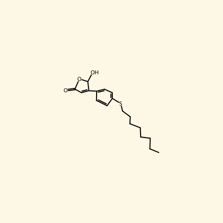 CCCCCCCCSc1ccc(C2=CC(=O)OC2O)cc1